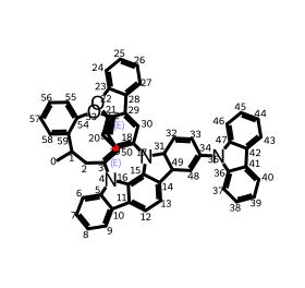 CC1C/C(n2c3ccccc3c3ccc4c(c32)N(c2ccc3oc5ccccc5c3c2)C2C=CC(n3c5ccccc5c5ccccc53)=CC42)=C\C=C\Oc2ccccc21